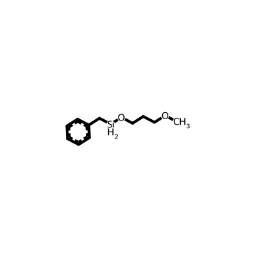 COCCCO[SiH2]Cc1ccccc1